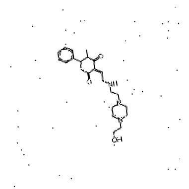 CC1C(=O)/C(=C/CNCCN2CCN(CCO)CC2)C(=O)CC1c1ccccc1